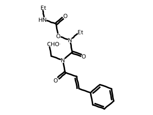 CCNC(=O)ON(CC)C(=O)N(C[C]=O)C(=O)C=Cc1ccccc1